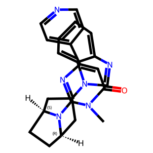 Cn1c(N2[C@@H]3CC[C@H]2CC(n2cnc4ccccc42)C3)nc(-c2ccncc2)cc1=O